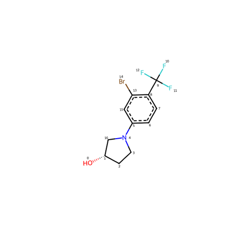 O[C@H]1CCN(c2ccc(C(F)(F)F)c(Br)c2)C1